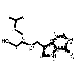 CC(C)SC[C@@H](CO)NCc1c[nH]c2c(=O)[nH]cnc12